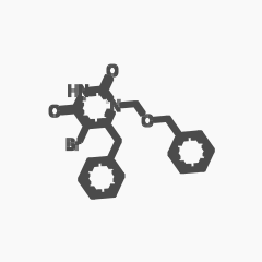 O=c1[nH]c(=O)n(COCc2ccccc2)c(Cc2ccccc2)c1Br